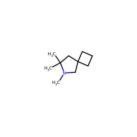 CN1CC2(CCC2)CC1(C)C